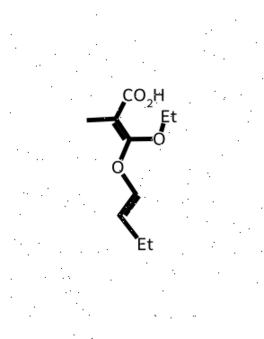 CCC=COC(OCC)=C(C)C(=O)O